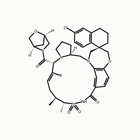 C[C@@H]1[C@@H](C)C/C=C(\F)[C@H](C(=O)N2C[C@H]3C[C@@H]2CO3)N2CCC[C@H]2CN2C[C@@]3(CCCc4cc(Cl)ccc43)COc3ccc(cc32)C(=O)NS1(=O)=O